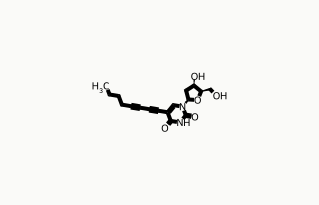 CCCCC#CC#Cc1cn([C@H]2C[C@H](O)[C@@H](CO)O2)c(=O)[nH]c1=O